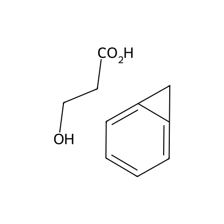 O=C(O)CCO.c1ccc2c(c1)C2